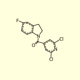 O=C(c1cc(Cl)nc(Cl)c1)N1CCc2cc(F)ccc21